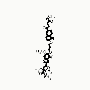 COC(=O)CCC(=O)c1ccc2c(F)c(OCCCOc3c(OC)cc4sc(C(=O)CC(C)(C)C(=O)OC)cc4c3F)ccc2c1